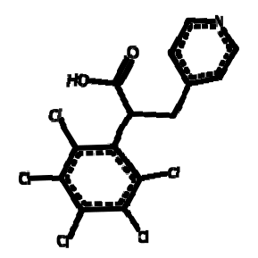 O=C(O)C(Cc1ccncc1)c1c(Cl)c(Cl)c(Cl)c(Cl)c1Cl